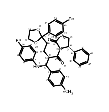 Cc1ccc([C@@H](Nc2ccc(F)cc2)[C@@H](CCC2(c3ccc(F)cc3)OCCO2)C(=O)N2C(=O)OC[C@@H]2c2ccccc2)cc1